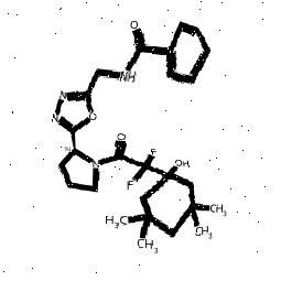 CC1(C)CC(C)(C)CC(O)(C(F)(F)C(=O)N2CCC[C@H]2c2nnc(CNC(=O)c3ccccc3)o2)C1